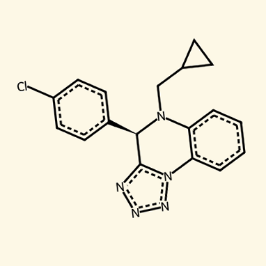 Clc1ccc([C@@H]2c3nnnn3-c3ccccc3N2CC2CC2)cc1